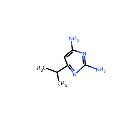 CC(C)c1cc(N)nc(N)n1